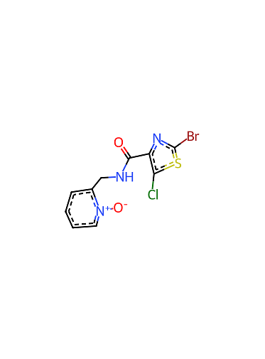 O=C(NCc1cccc[n+]1[O-])c1nc(Br)sc1Cl